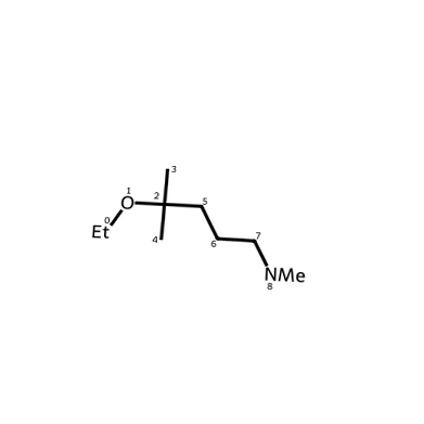 CCOC(C)(C)CCCNC